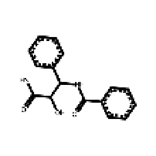 O=C(NC(c1ccccc1)C(O)C(=O)S)c1ccccc1